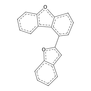 c1ccc2oc(-c3cccc4oc5ccccc5c34)cc2c1